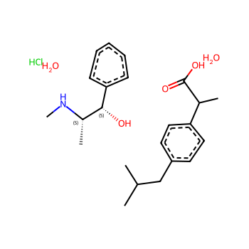 CC(C)Cc1ccc(C(C)C(=O)O)cc1.CN[C@@H](C)[C@@H](O)c1ccccc1.Cl.O.O